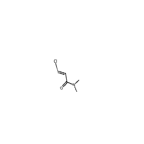 CN(C)C(=O)C=CCl